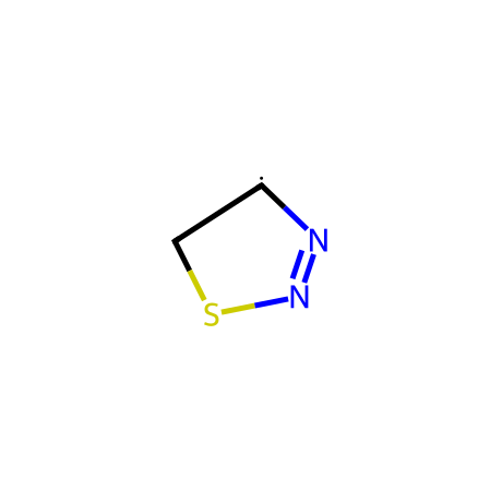 [CH]1CSN=N1